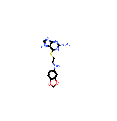 Nc1nc(SCCNc2ccc3c(c2)OCO3)c2[nH]cnc2n1